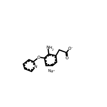 Nc1c(CC(=O)[O-])cccc1Oc1ccccn1.[Na+]